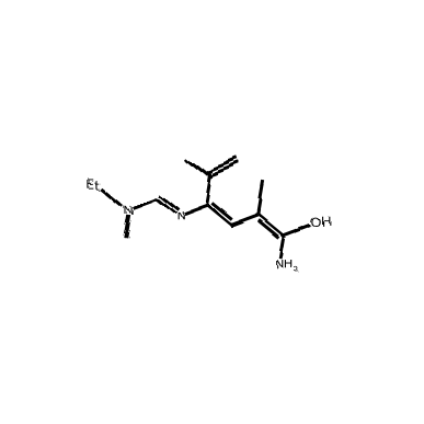 C=C(C)C(=C\C(C)=C(/N)O)/N=C/N(C)CC